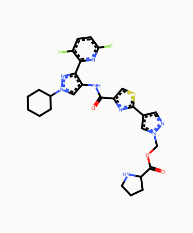 O=C(Nc1cn(C2CCCCC2)nc1-c1nc(F)ccc1F)c1csc(-c2cnn(COC(=O)C3CCCN3)c2)n1